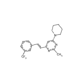 Cc1nc(C=Cc2cccc(C(F)(F)F)c2)cc(N2CCCCC2)n1